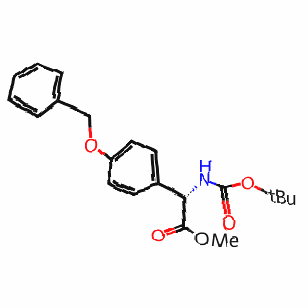 COC(=O)[C@@H](NC(=O)OC(C)(C)C)c1ccc(OCc2ccccc2)cc1